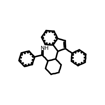 N=C(c1ccccc1)C1CCCCC1C1C(c2ccccc2)=Cc2ccccc21